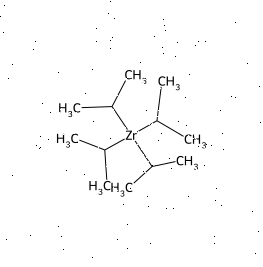 C[CH](C)[Zr]([CH](C)C)([CH](C)C)[CH](C)C